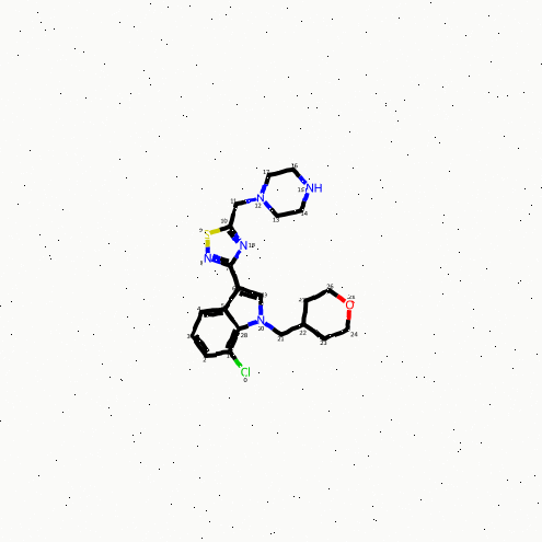 Clc1cccc2c(-c3nsc(CN4CCNCC4)n3)cn(CC3CCOCC3)c12